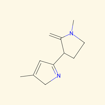 C=C1C(C2=NCC(C)=C2)CCN1C